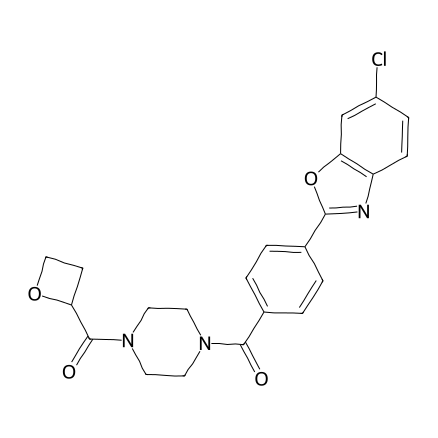 O=C(c1ccc(-c2nc3ccc(Cl)cc3o2)cc1)N1CCN(C(=O)C2CCO2)CC1